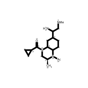 CNCC(N)C1CCC2C(C1)N(C(=O)C1CC1)C[C@H](C)N2C(C)=O